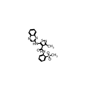 Cc1nsc(Nc2cnc3ccccc3n2)c1C(=O)Nc1ccccc1S(C)(=O)=O